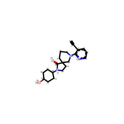 C#Cc1cccnc1N1CCCC2(CCN(C3CCC(O)CC3)C2=O)C1